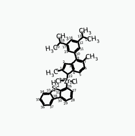 CC1=Cc2c(ccc(C)c2-c2cc(C(C)C)cc(C(C)C)c2)[CH]1[Zr]([Cl])([Cl])[c]1cccc2c1[SiH2]c1ccccc1-2